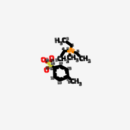 CC[P+](C)(CC)CC.Cc1ccc(S(=O)(=O)[O-])cc1